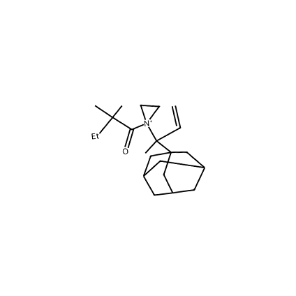 C=CC(C)(C12CC3CC(CC(C3)C1)C2)[N+]1(C(=O)C(C)(C)CC)CC1